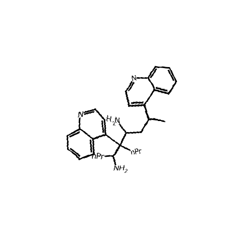 [CH2]CCC(c1ccnc2ccccc12)(C(N)CCC)C(N)CC(C)c1ccnc2ccccc12